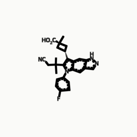 CC(C)(CC#N)c1c([C@H]2C[C@](C)(C(=O)O)C2)c2cc3[nH]ncc3cc2n1-c1ccc(F)cc1